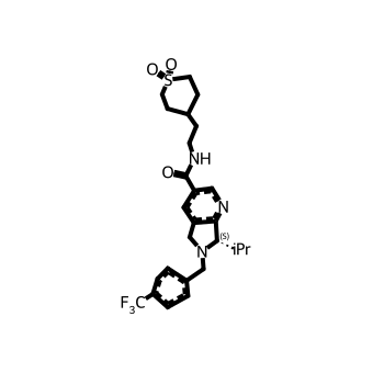 CC(C)[C@H]1c2ncc(C(=O)NCCC3CCS(=O)(=O)CC3)cc2CN1Cc1ccc(C(F)(F)F)cc1